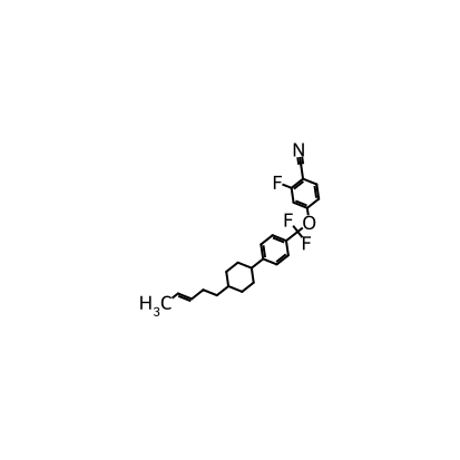 C/C=C/CCC1CCC(c2ccc(C(F)(F)Oc3ccc(C#N)c(F)c3)cc2)CC1